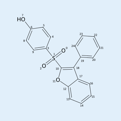 O=S(=O)(c1ccc(O)cc1)c1oc2ccccc2c1-c1ccccc1